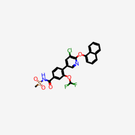 CS(=O)(=O)NC(=O)c1ccc(-c2cnc(Oc3cccc4ccccc34)c(Cl)c2)c(OC(F)F)c1